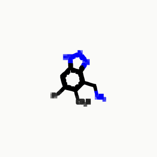 CC(C)c1cc2[nH]nnc2c(CN)c1C(=O)O